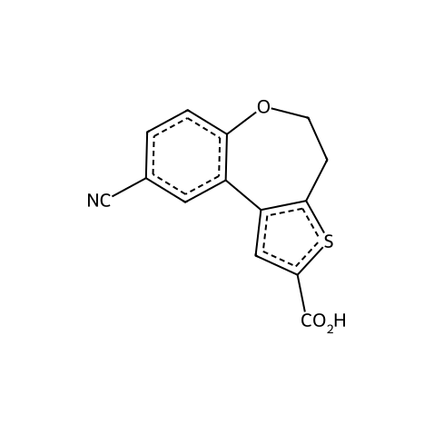 N#Cc1ccc2c(c1)-c1cc(C(=O)O)sc1CCO2